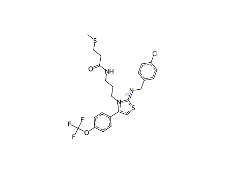 CSCCC(=O)NCCCn1c(-c2ccc(OC(F)(F)F)cc2)cs/c1=N\Cc1ccc(Cl)cc1